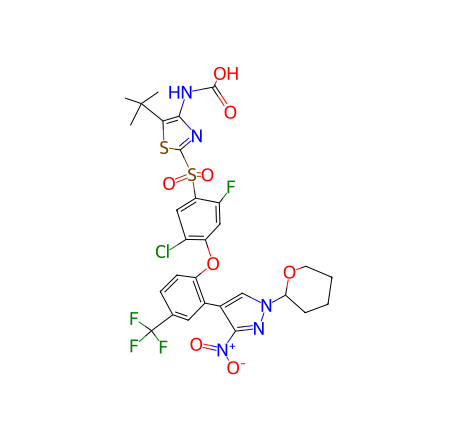 CC(C)(C)c1sc(S(=O)(=O)c2cc(Cl)c(Oc3ccc(C(F)(F)F)cc3-c3cn(C4CCCCO4)nc3[N+](=O)[O-])cc2F)nc1NC(=O)O